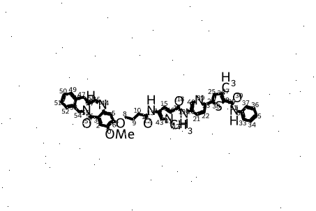 COc1cc2c(cc1OCCCC(=O)Nc1cc(C(=O)Nc3ccc(-c4cc(C)c(C(=O)Nc5ccccc5)s4)nc3)n(C)c1)N=C[C@@H]1Cc3ccccc3CN1C2=O